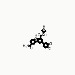 NC(=O)c1ccc2[nH]c3c(C(=O)NC4CNC4)cc(-c4ccc(Cl)c(Cl)c4)cc3c2c1